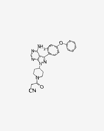 N#CCC(=O)N1CCC(n2nc(-c3ccc(Oc4ccccc4)cc3)c3c(N)ncnc32)CC1